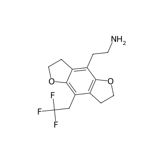 NCCc1c2c(c(CC(F)(F)F)c3c1OCC3)OCC2